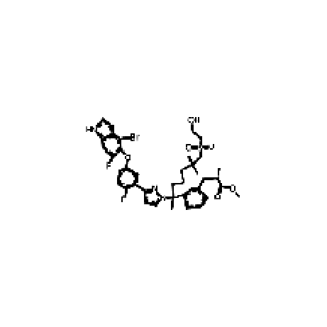 COC(=O)[C@H](C)Cc1cccc(C(C)(CCCC(C)(C)CS(=O)(=O)CCO)n2ccc(-c3cc(Oc4c(F)cc5[nH]ccc5c4Br)ccc3F)n2)c1